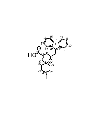 O=C(O)N1CC(CC2c3ccccc3-c3ccccc32)OC2(CCNCC2)C1